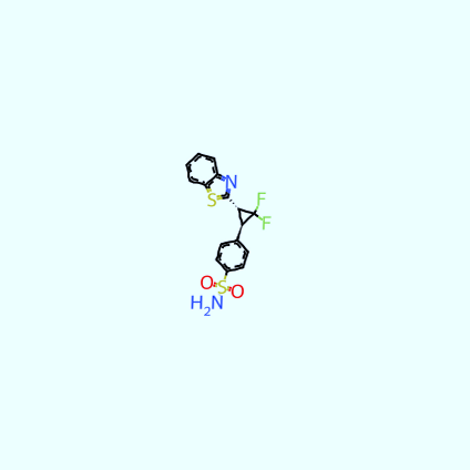 NS(=O)(=O)c1ccc([C@H]2[C@H](c3nc4ccccc4s3)C2(F)F)cc1